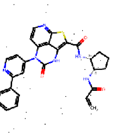 C=CC(=O)N[C@H]1CCC[C@H]1NC(=O)c1sc2nccc3c2c1NC(=O)N3c1ccnc(-c2ccccc2)c1